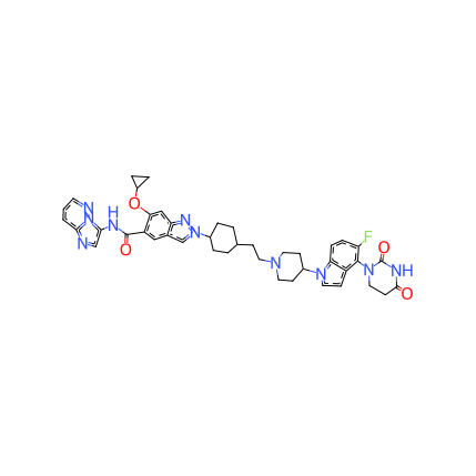 O=C1CCN(c2c(F)ccc3c2ccn3C2CCN(CCC3CCC(n4cc5cc(C(=O)Nc6cnc7cccnn67)c(OC6CC6)cc5n4)CC3)CC2)C(=O)N1